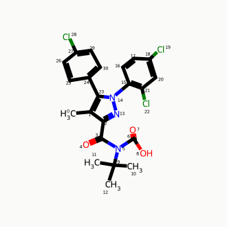 Cc1c(C(=O)N(C(=O)O)C(C)(C)C)nn(-c2ccc(Cl)cc2Cl)c1-c1ccc(Cl)cc1